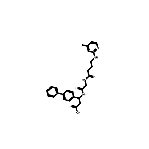 Cc1ccnc(NCCCC(=O)NCC(=O)NC(CC(=O)O)c2ccc(-c3ccccc3)cc2)c1